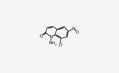 Nn1c(=O)ccc2cc(N=O)cc(Cl)c21